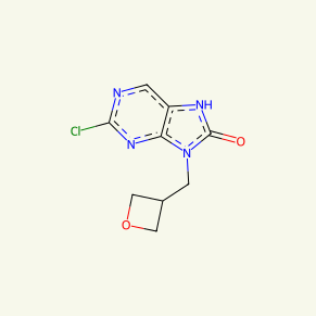 O=c1[nH]c2cnc(Cl)nc2n1CC1COC1